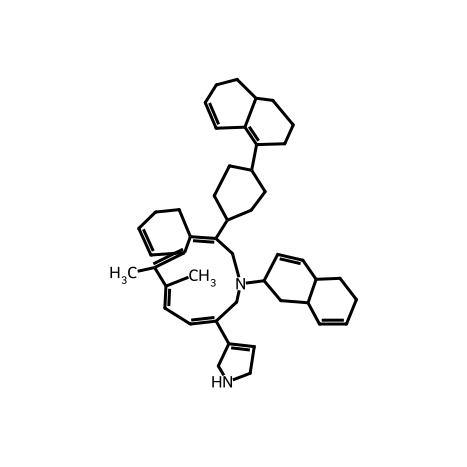 CC1=C\C=C(\C2=CCNC2)CN(C2C=CC3CCC=CC3C2)C/C(C2CCC(C3=C4C=CCCC4CCC3)CC2)=C2/CCC=C/C2=C\1C